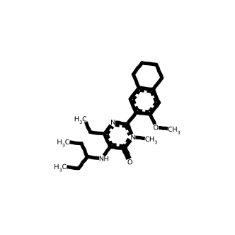 CCc1nc(-c2cc3c(cc2OC)CCCC3)n(C)c(=O)c1NC(CC)CC